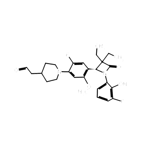 CCC1(CC)C(=O)N(c2cccc(F)c2O)[C@H]1c1cc(F)c(N2CCC(CC=O)CC2)cc1OC